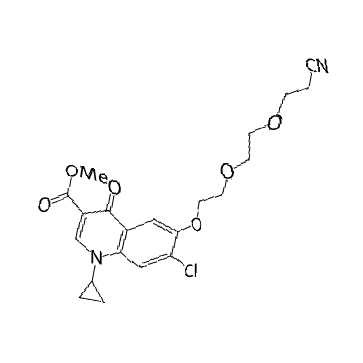 COC(=O)c1cn(C2CC2)c2cc(Cl)c(OCCOCCOCCC#N)cc2c1=O